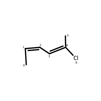 C/C=C\C=C(/C)Cl